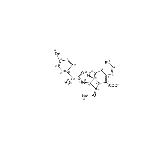 CC/C=C\C1=C(C(=O)[O-])N2C(=O)[C@@H](NC(=O)C(N)c3ccc(O)cc3)[C@@H]2SC1.[Na+]